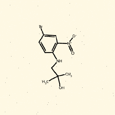 CC(C)(O)CNc1ccc(Br)cc1[N+](=O)[O-]